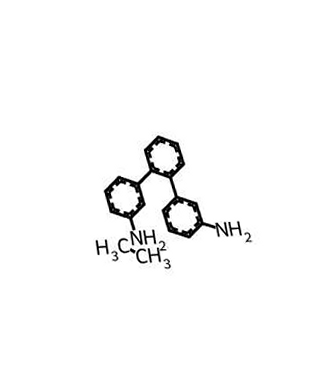 CC.Nc1cccc(-c2ccccc2-c2cccc(N)c2)c1